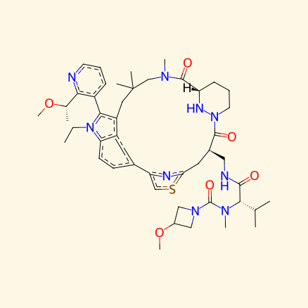 CCn1c(-c2cccnc2[C@H](C)OC)c2c3cc(ccc31)-c1csc(n1)C[C@H](CNC(=O)[C@H](C(C)C)N(C)C(=O)N1CC(OC)C1)C(=O)N1CCC[C@H](N1)C(=O)N(C)CC(C)(C)C2